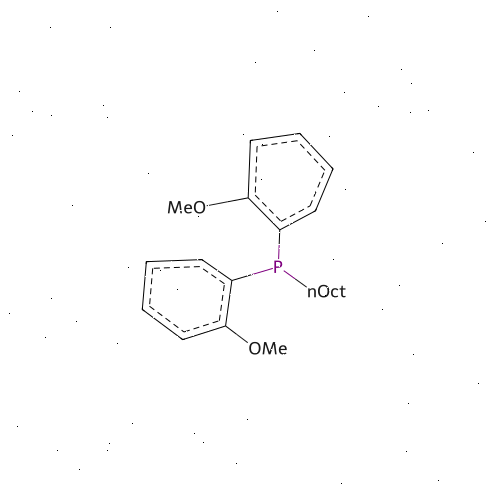 CCCCCCCCP(c1ccccc1OC)c1ccccc1OC